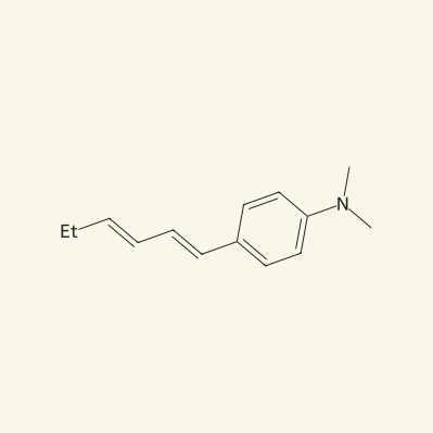 CCC=CC=Cc1ccc(N(C)C)cc1